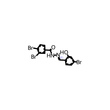 O=C(N/N=C/c1ccc(Br)cc1O)c1ccc(Br)c(Br)c1